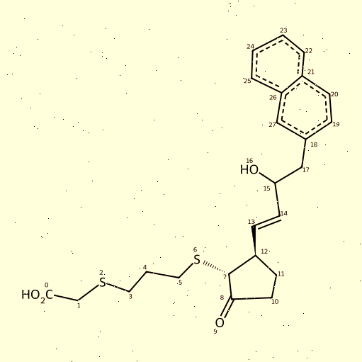 O=C(O)CSCCCS[C@H]1C(=O)CC[C@@H]1C=CC(O)Cc1ccc2ccccc2c1